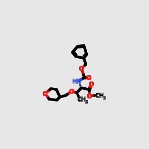 COC(=O)[C@@H](NC(=O)OCc1ccccc1)[C@@H](C)OCC1CCOCC1